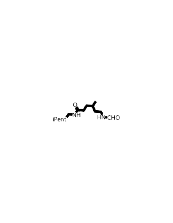 CCCC(C)CNC(=O)CCC(C)CCNC=O